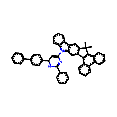 CC1(C)c2cc3c4ccccc4n(C4=CC(c5ccc(-c6ccccc6)cc5)NC(c5ccccc5)=N4)c3cc2-c2c1c1ccccc1c1ccccc21